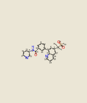 CC(C)(c1cc(-c2cccc(C(=O)Nc3cccnc3)c2)c2ncccc2c1)S(C)(=O)=O